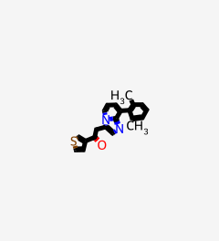 Cc1cccc(C)c1-c1cccn2c(CC(=O)c3ccsc3)cnc12